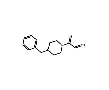 C=CC(=O)N1CCN(Cc2ccccc2)CC1